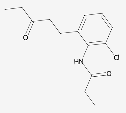 CCC(=O)CCc1cccc(Cl)c1NC(=O)CC